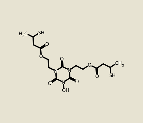 CC(S)CC(=O)OCCn1c(=O)n(O)c(=O)n(CCOC(=O)CC(C)S)c1=O